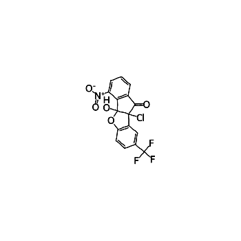 O=C1c2cccc([N+](=O)[O-])c2C2(O)Oc3ccc(C(F)(F)F)cc3C12Cl